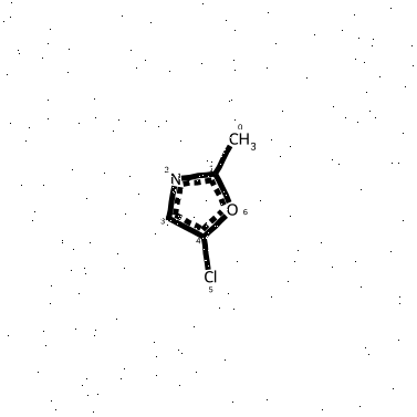 Cc1ncc(Cl)o1